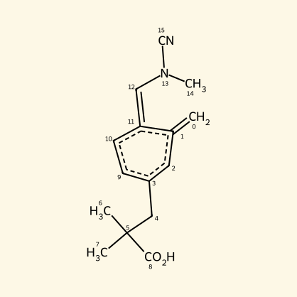 C=c1cc(CC(C)(C)C(=O)O)cc/c1=C/N(C)C#N